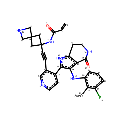 C=CC(=O)NC1(C#Cc2cnccc2-c2[nH]c3c(c2Nc2cccc(F)c2OC)C(=O)NCC3)CC2(CNC2)C1